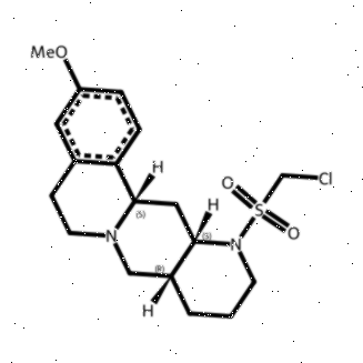 COc1ccc2c(c1)CCN1C[C@H]3CCCN(S(=O)(=O)CCl)[C@H]3C[C@@H]21